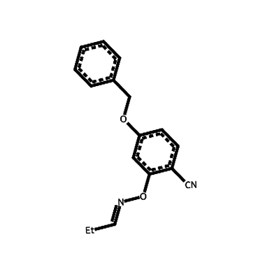 CCC=NOc1cc(OCc2ccccc2)ccc1C#N